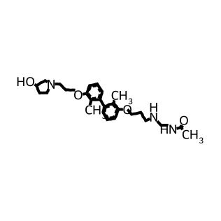 CC(=O)NCCNCCCOc1cccc(-c2cccc(OCCCN3CCC(O)C3)c2C)c1C